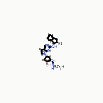 CC[C@@H]1Cc2ccccc2[C@@H]1Nc1ncc2ccn([C@H]3C[C@H](CNS(=O)(=O)O)[C@H](O)C3)c2n1